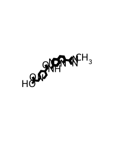 Cn1cc(-c2ccc3cnc(NC(=O)C4CCN(CC(=O)O)CC4)cc3n2)cn1